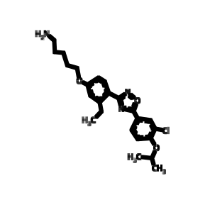 CCc1cc(OCCCCCN)ccc1-c1noc(-c2ccc(OC(C)C)c(Cl)c2)n1